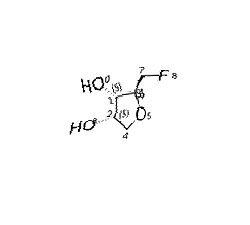 O[C@H]1[C@@H](O)CO[C@@H]1CF